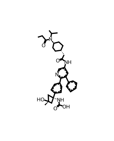 CCC(=O)N(C(C)C)[C@H]1CC[C@H](CC(=O)Nc2cnc(-c3ccc([C@]4(NC(=O)O)C[C@@](C)(O)C4)cc3)c(-c3ccccc3)c2)CC1